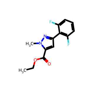 CCOC(=O)c1cc(-c2c(F)cccc2F)nn1C